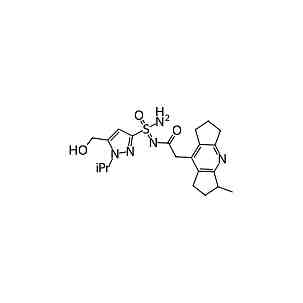 CC1CCc2c1nc1c(c2CC(=O)N=S(N)(=O)c2cc(CO)n(C(C)C)n2)CCC1